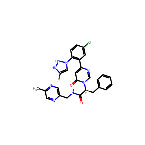 Cc1cnc(CNC(=O)[C@H](Cc2ccccc2)n2cnc(-c3cc(Cl)ccc3N3C=C(Cl)NN3)cc2=O)cn1